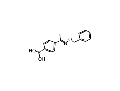 C/C(=N\OCc1ccccc1)c1ccc(B(O)O)cc1